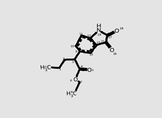 CCCC(C(=O)OCC)c1ccc2c(c1)C(=O)C(=O)N2